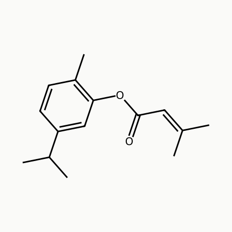 CC(C)=CC(=O)Oc1cc(C(C)C)ccc1C